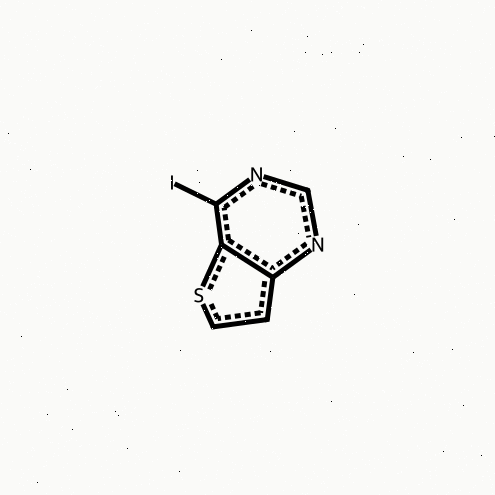 Ic1ncnc2ccsc12